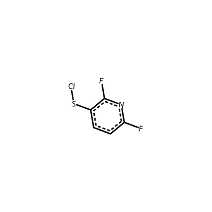 Fc1ccc(SCl)c(F)n1